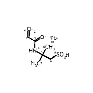 C=CC(=O)NC(C)(C)CS(=O)(=O)O.[Pb]